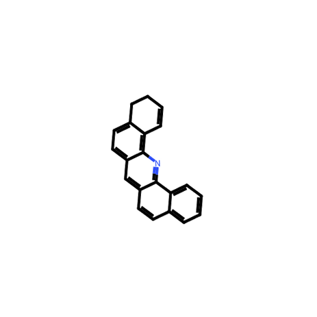 C1=Cc2c(ccc3cc4ccc5ccccc5c4nc23)CC1